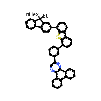 CCCCCCC1(CC)c2ccccc2-c2ccc(-c3cccc4c3sc3c(-c5cccc(-c6cnc7c8ccccc8c8ccccc8c7n6)c5)cccc34)cc21